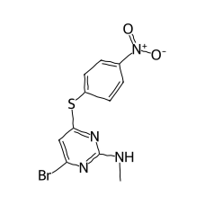 CNc1nc(Br)cc(Sc2ccc([N+](=O)[O-])cc2)n1